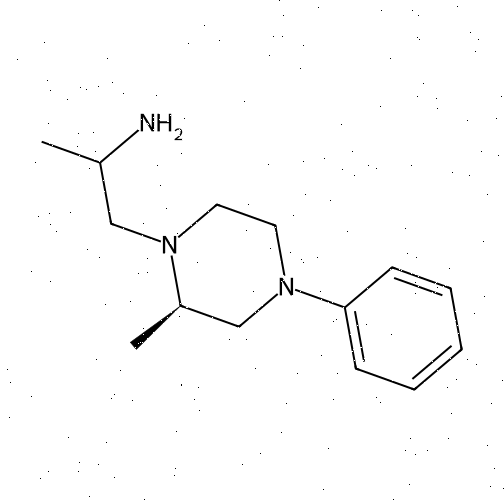 CC(N)CN1CCN(c2ccccc2)C[C@H]1C